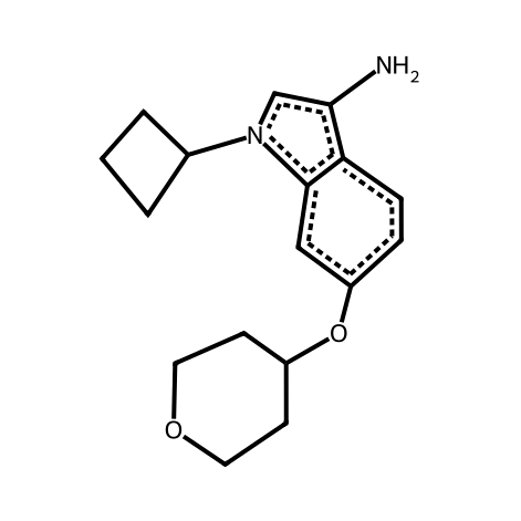 Nc1cn(C2CCC2)c2cc(OC3CCOCC3)ccc12